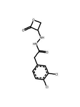 O=C(Cc1ccc(Cl)c(Cl)c1)NNC1COC1=O